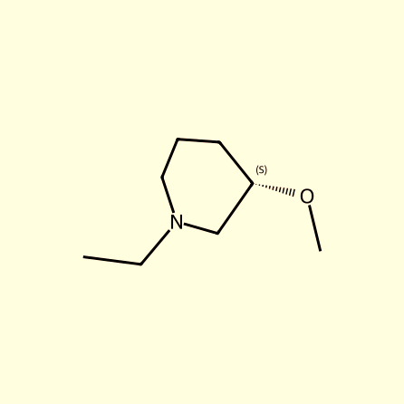 CCN1CCC[C@H](OC)C1